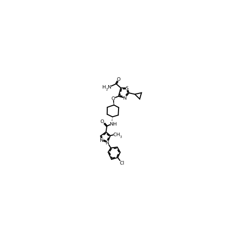 Cc1c(C(=O)N[C@H]2CC[C@H](Oc3nc(C4CC4)sc3C(N)=O)CC2)cnn1-c1ccc(Cl)cc1